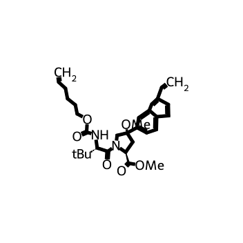 C=CCCCCOC(=O)N[C@H](C(=O)N1C[C@](OC)(c2ccc3ccc(C=C)cc3c2)C[C@H]1C(=O)OC)C(C)(C)C